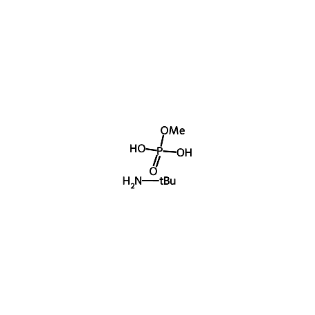 CC(C)(C)N.COP(=O)(O)O